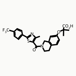 Cc1nc(-c2ccc(C(F)(F)F)cc2)sc1C(=O)N1CCc2ccc(OC(C)(C)C(=O)O)cc2C1